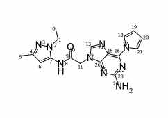 CCn1nc(C)cc1NC(=O)Cn1cnc2c(-n3cccc3)nc(N)nc21